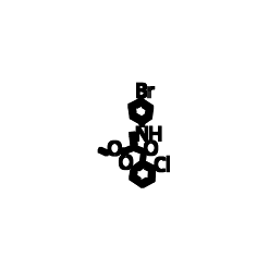 CCOC(=O)/C(=C/Nc1ccc(Br)cc1)C(=O)c1ccccc1Cl